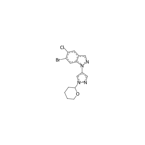 Clc1cc2cnn(-c3cnn(C4CCCCO4)c3)c2cc1Br